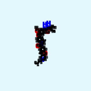 CCCCN1CCC(Oc2ccc(C(=O)N3CCc4cc(Oc5ccc(NC(=O)NC(CC)CC)cc5OC)ccc43)cc2C)CC1